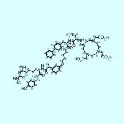 CCNC(=O)/N=C(/N)NCCC[C@@H](NC(=O)C(C)c1cccc(OCCCCNC(=O)[C@@H](Cc2ccc(-c3ccccc3)cc2)NC(=O)[C@@H](CN)NCN2CCN(CC(=O)O)CCN(CC(=O)O)CCN(CC(=O)O)CC2)c1)C(=O)NCc1ccc(O)cc1